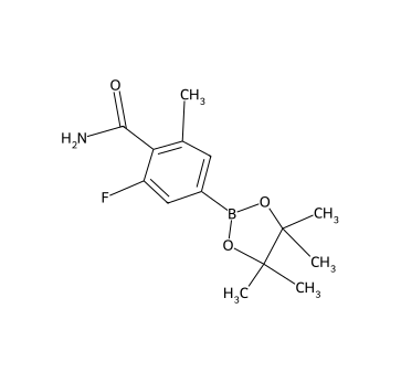 Cc1cc(B2OC(C)(C)C(C)(C)O2)cc(F)c1C(N)=O